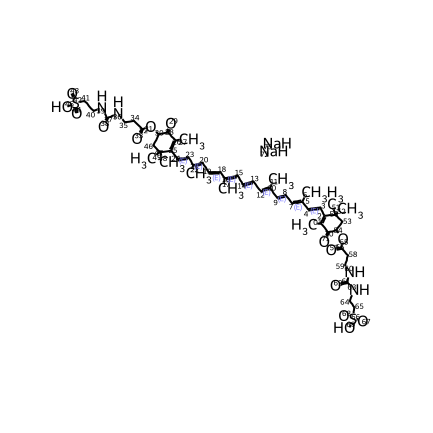 CC1=C(/C=C/C(C)=C/C=C/C(C)=C/C=C/C=C(C)/C=C/C=C(C)/C=C/C2=C(C)C(=O)C(OC(=O)CCNC(=O)NCCS(=O)(=O)O)CC2(C)C)C(C)(C)CC(OC(=O)CCNC(=O)NCCS(=O)(=O)O)C1=O.[NaH].[NaH]